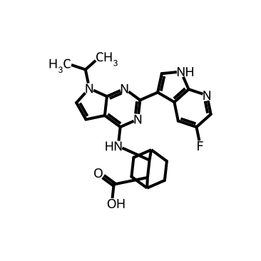 CC(C)n1ccc2c(NC3C4CCC(CC4)C3C(=O)O)nc(-c3c[nH]c4ncc(F)cc34)nc21